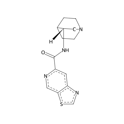 O=C(N[C@H]1CN2CCC1CC2)c1cc2ncsc2cn1